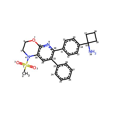 CS(=O)(=O)N1CCOc2nc(-c3ccc(C4(N)CCC4)cc3)c(-c3ccccc3)cc21